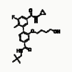 Cc1c(F)cc(C(=O)NC2CC2)cc1-c1ccc(C(=O)NCC(C)(C)C)cc1OCCCCO